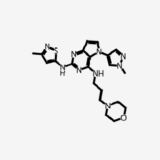 Cc1cc(Nc2nc(NCCCN3CCOCC3)c3c(ccn3-c3cnn(C)c3)n2)sn1